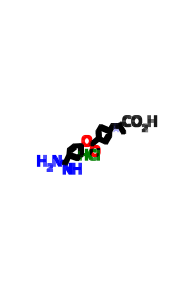 C/C(=C\c1ccc(C(=O)Oc2ccc(C(=N)N)cc2)cc1)C(=O)O.Cl